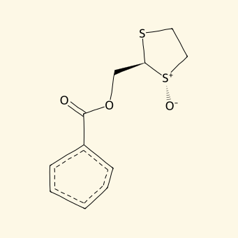 O=C(OC[C@H]1SCC[S@+]1[O-])c1ccccc1